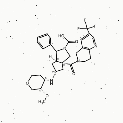 CO[C@@H]1COCC[C@@H]1N[C@@H]1C[C@H]2C(c3ccccc3)N(C(=O)O)C[C@@]2(C(=O)N2CCc3ncc(C(F)(F)F)cc3C2)C1